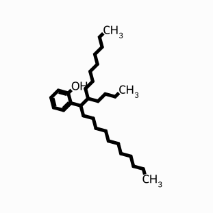 CCCCCCCCCCCC(c1ccccc1O)C(CCCC)CCCCCCCC